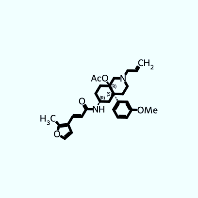 C=CCN1CC[C@@]2(c3cccc(OC)c3)C[C@H](NC(=O)C=Cc3ccoc3C)CC[C@]2(OC(C)=O)C1